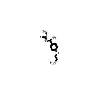 CCCC(NC(=O)OC(C)(C)C)c1ccc(OCCN)cc1